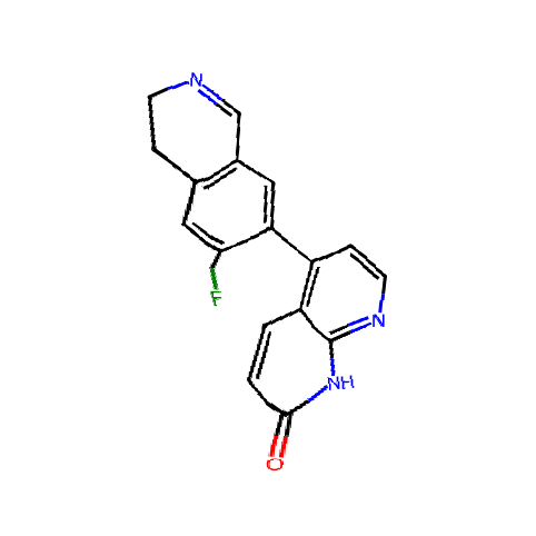 O=c1ccc2c(-c3cc4c(cc3F)CCN=C4)ccnc2[nH]1